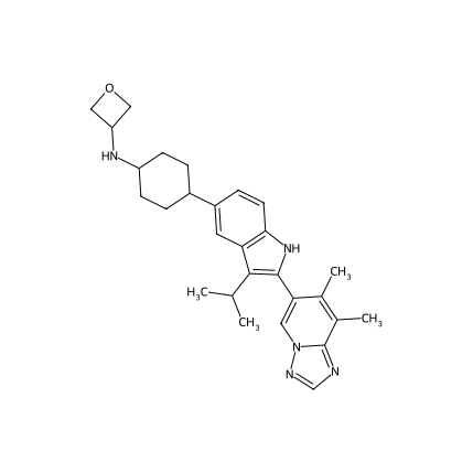 Cc1c(-c2[nH]c3ccc(C4CCC(NC5COC5)CC4)cc3c2C(C)C)cn2ncnc2c1C